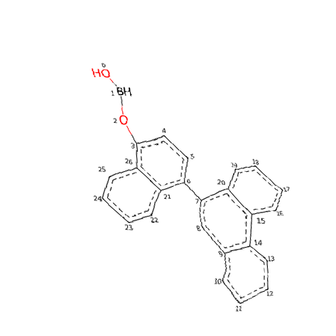 OBOc1ccc(-c2cc3ccccc3c3ccccc23)c2ccccc12